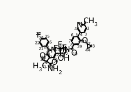 Cc1ccc(-c2ccc(C(=O)NCC(O)(c3cc4c(c(-c5ccc(F)cc5)n3)OC[C@]4(C)C(N)=O)C(F)(F)F)cc2OC2CC2)cn1